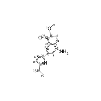 COc1ccc2c(N)cc(-c3nc(C(C)C)cs3)nc2c1Cl